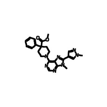 COC(=O)C1(c2ccccc2)CCN(c2ncnc3c2nc(-c2cnn(C)c2)n3C)CC1